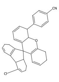 N#Cc1ccc(C2C=CC=C3C2OC2=C(C=CCC2)C32C3=C(C=CCC3)C3C(Cl)=CCCC32)cc1